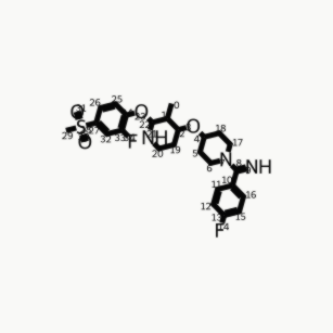 CC1C(OC2CCN(C(=N)c3ccc(F)cc3)CC2)CCNC1Oc1ccc(S(C)(=O)=O)cc1F